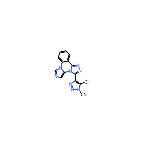 Cc1c(-c2nnc3c4ccccc4n4cncc4n23)nnn1C#N